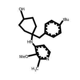 COc1c(NC2(Cc3ccc(C(C)(C)C)cc3)CCC(O)CC2)ccnc1C